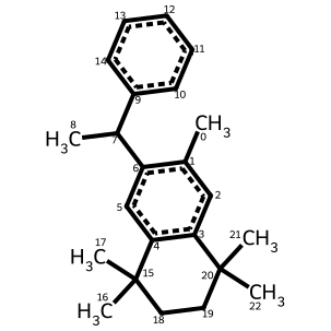 Cc1cc2c(cc1C(C)c1c[c]ccc1)C(C)(C)CCC2(C)C